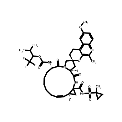 COc1ccc2nc(C)c3c(c2c1)CC[C@]1(C[C@H]2C(=O)N[C@]4(C(=O)NS(=O)(=O)C5(C)CC5)C[C@H]4/C=C\CCCCC[C@H](NC(=O)OC(C(C)C)C(F)(F)F)C(=O)N2C1)O3